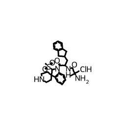 CC(C)(N)C(=O)NC(CC1Cc2ccccc2C1)C(=O)N1c2ccccc2C2(CCNCC2)C1S(C)(=O)=O.Cl